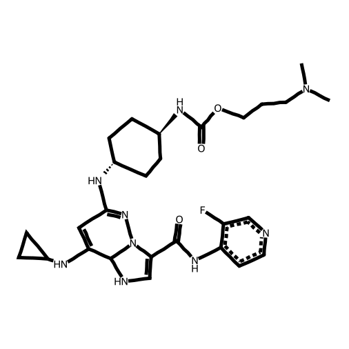 CN(C)CCCOC(=O)N[C@H]1CC[C@H](NC2=NN3C(C(=O)Nc4ccncc4F)=CNC3C(NC3CC3)=C2)CC1